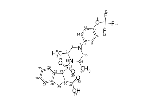 CC1CN(c2ccc(OC(F)(F)F)cc2)CC(C)N1S(=O)(=O)C1c2ccccc2CC1C(=O)O